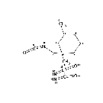 CC1CCCC(C)(CN=C=O)C1.N=C=O.N=C=O